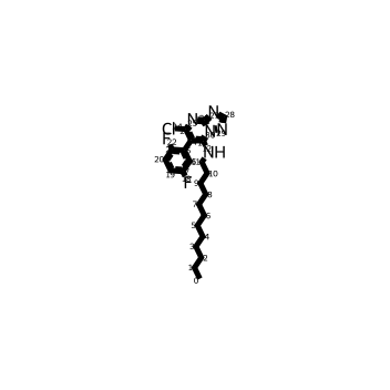 CCCCCCCCCCCCNc1c(-c2cc(F)ccc2F)c(Cl)nc2ncnn12